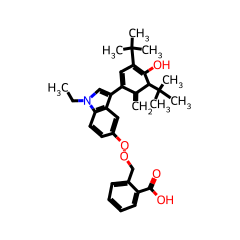 C=C1C(c2cn(CC)c3ccc(OOCc4ccccc4C(=O)O)cc23)=CC(C(C)(C)C)=C(O)C1C(C)(C)C